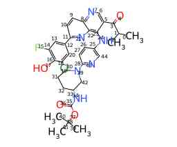 CC(C)C(=O)c1cnc2ccc(-c3cc(F)c(O)c(Cl)c3)nc2c1Nc1ccc(N2CCC[C@@H](NC(=O)OC(C)(C)C)C2)nc1